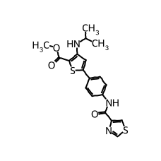 COC(=O)c1sc(-c2ccc(NC(=O)c3cscn3)cc2)cc1NC(C)C